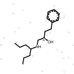 CCCC(CCC)NC[C@H](O)CCc1ccccc1